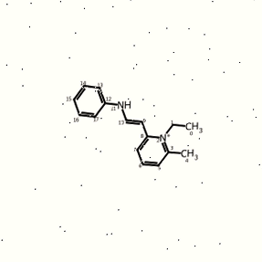 CC[n+]1c(C)cccc1/C=C/Nc1ccccc1